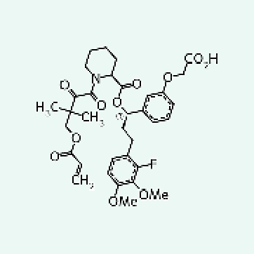 C=CC(=O)OCC(C)(C)C(=O)C(=O)N1CCCCC1C(=O)O[C@H](CCc1ccc(OC)c(OC)c1F)c1cccc(OCC(=O)O)c1